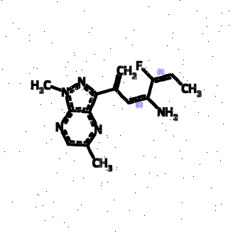 C=C(/C=C(N)\C(F)=C/C)c1nn(C)c2ncc(C)nc12